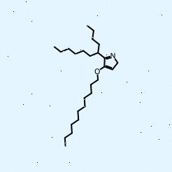 CCCCCCCCCCCOC1=CCN=C1C(CCCC)CCCCCC